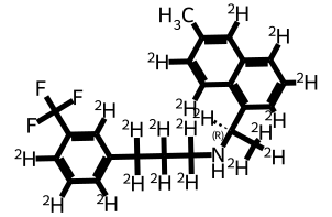 [2H]c1c([2H])c(C(F)(F)F)c([2H])c(C([2H])([2H])C([2H])([2H])C([2H])([2H])N[C@@]([2H])(c2c([2H])c([2H])c([2H])c3c([2H])c(C)c([2H])c([2H])c23)C([2H])([2H])[2H])c1[2H]